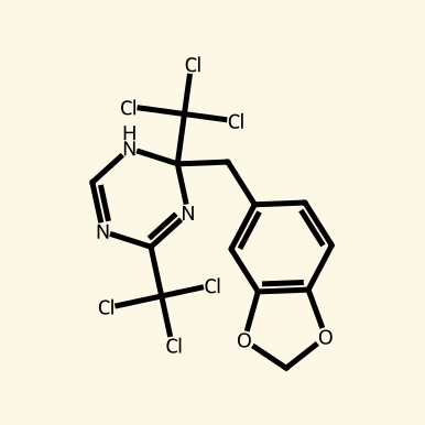 ClC(Cl)(Cl)C1=NC(Cc2ccc3c(c2)OCO3)(C(Cl)(Cl)Cl)NC=N1